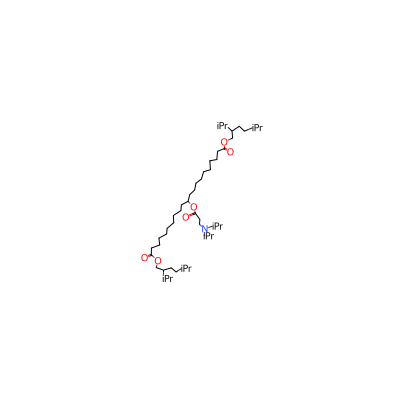 CC(C)CCC(COC(=O)CCCCCCCCCC(CCCCCCCCCC(=O)OCC(CCC(C)C)C(C)C)OC(=O)CCN(C(C)C)C(C)C)C(C)C